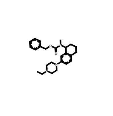 CCN1CCN(c2ccc3c(c2)C(N(C)C(=O)OCc2ccccc2)CCC3)CC1